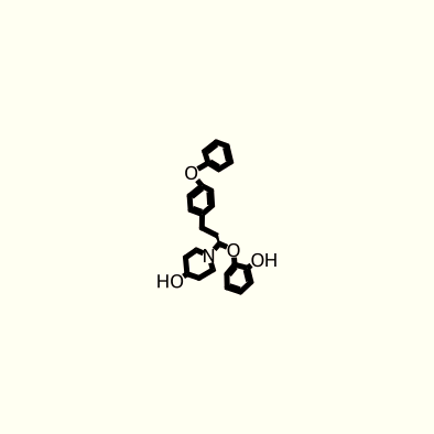 Oc1ccccc1O[C@H](CCc1ccc(Oc2ccccc2)cc1)N1CCC(O)CC1